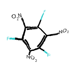 O=[N+]([O-])c1c(F)c([N+](=O)[O-])c(F)c([N+](=O)[O-])c1F